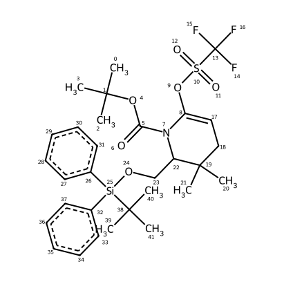 CC(C)(C)OC(=O)N1C(OS(=O)(=O)C(F)(F)F)=CCC(C)(C)C1CO[Si](c1ccccc1)(c1ccccc1)C(C)(C)C